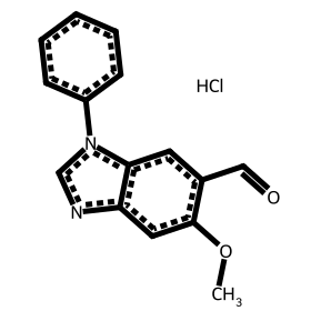 COc1cc2ncn(-c3ccccc3)c2cc1C=O.Cl